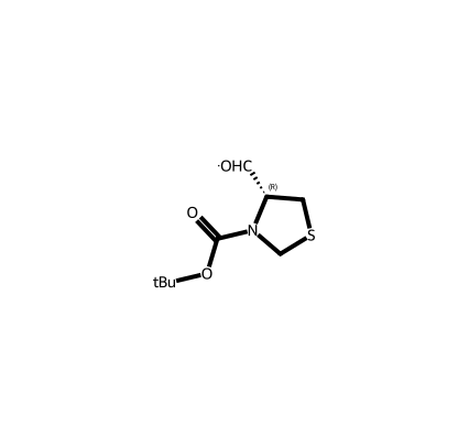 CC(C)(C)OC(=O)N1CSC[C@H]1[C]=O